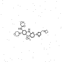 C=CC(=O)Nc1cc(Nc2nccc(-n3cc(CN4CCC4)cn3)n2)c(OC)cc1N1CCOCC1